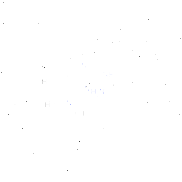 Cc1cnc(NC2(N)CCCCC2)nc1N(C)C